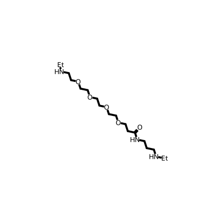 CCNCCCNC(=O)CCOCCOCCOCCOCCNCC